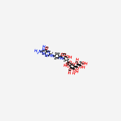 Nc1nc2ncc(CNc3ccc(C(=O)NC(CCC(=O)OC4=C(O)[C@@H](O)[C@H](O)[C@H]([C@H](O)[C@H](O)[C@H](O)CO)O4)C(=O)O)cc3)nc2c(=O)[nH]1